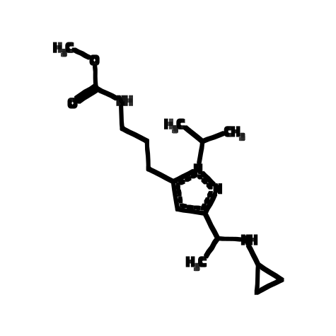 COC(=O)NCCCc1cc(C(C)NC2CC2)nn1C(C)C